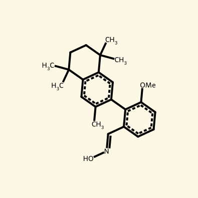 COc1cccc(C=NO)c1-c1cc2c(cc1C)C(C)(C)CCC2(C)C